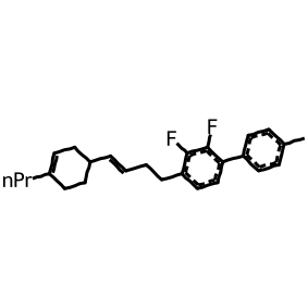 CCCC1=CCC(/C=C/CCc2ccc(-c3ccc(C)cc3)c(F)c2F)CC1